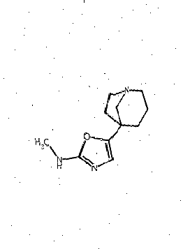 CNc1ncc(C23CCCN(CC2)C3)o1